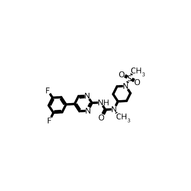 CN(C(=O)Nc1ncc(-c2cc(F)cc(F)c2)cn1)C1CCN(S(C)(=O)=O)CC1